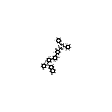 c1ccc(-c2nc(-c3ccccc3)nc(-c3ccc4c(c3)oc3ccc(-c5cccc(N(c6ccccc6)c6ccc7ccccc7c6)c5)cc34)n2)cc1